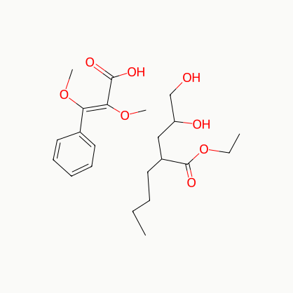 CCCCC(CC(O)CO)C(=O)OCC.COC(C(=O)O)=C(OC)c1ccccc1